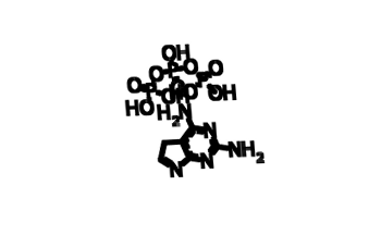 Nc1nc(N)c2c(n1)N=CC2.O=P(O)(O)OP(=O)(O)OP(=O)(O)O